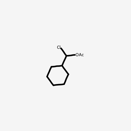 CC(=O)OC(Cl)C1CCCCC1